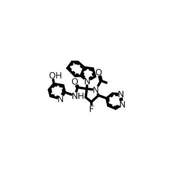 CC(=O)N1C(c2ccnnc2)C(F)CC1(C(=O)Nc1cc(O)ccn1)n1ccc2ccccc21